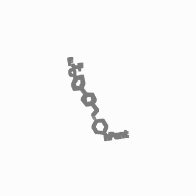 CCCCC[C@H]1CC[C@H](CCc2ccc(-c3ccc(OC(F)F)cc3)cc2)CC1